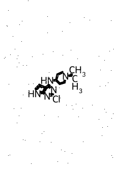 CC(C)N1CCC(Nc2nc(Cl)nc3[nH]ccc23)CC1